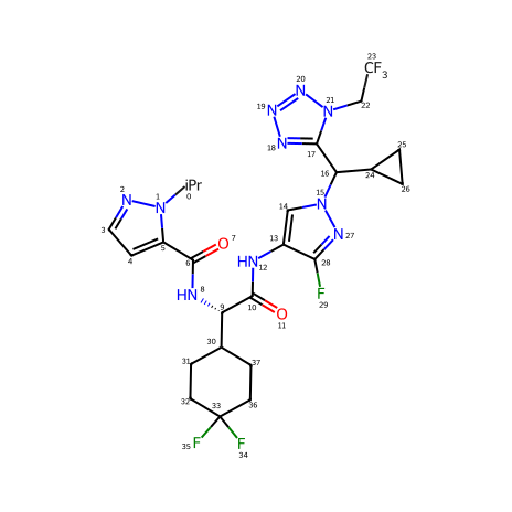 CC(C)n1nccc1C(=O)N[C@H](C(=O)Nc1cn(C(c2nnnn2CC(F)(F)F)C2CC2)nc1F)C1CCC(F)(F)CC1